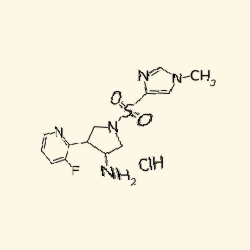 Cl.Cn1cnc(S(=O)(=O)N2CC(N)C(c3ncccc3F)C2)c1